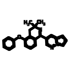 CC1(C)Cc2c(Oc3ccccc3)cccc2C(c2cnn3cccc3c2)=N1